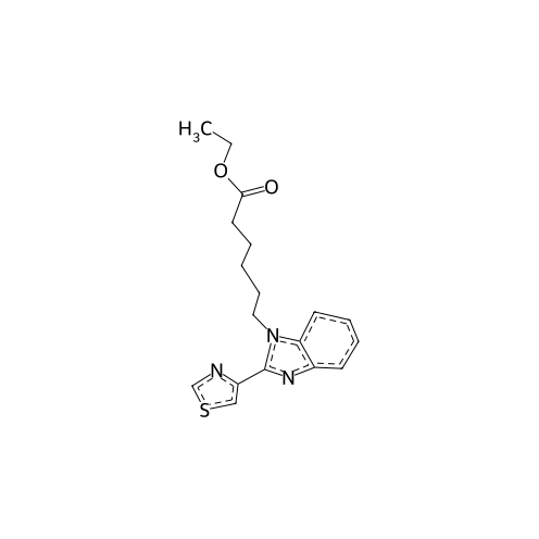 CCOC(=O)CCCCCn1c(-c2cscn2)nc2ccccc21